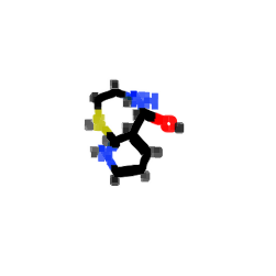 O=C1NCCSc2ncccc21